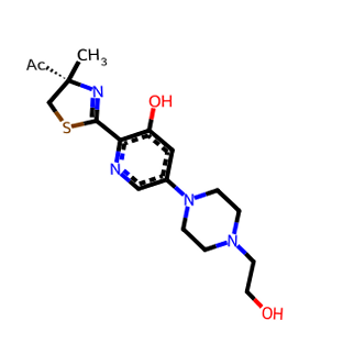 CC(=O)[C@@]1(C)CSC(c2ncc(N3CCN(CCO)CC3)cc2O)=N1